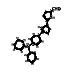 O=Cc1ccc(-c2ccc(-c3ccc(N(c4ccccc4)c4ccccc4)cc3)s2)s1